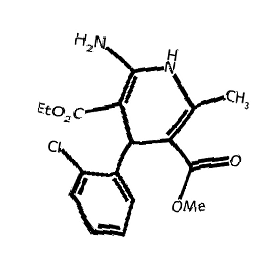 CCOC(=O)C1=C(N)NC(C)=C(C(=O)OC)C1c1ccccc1Cl